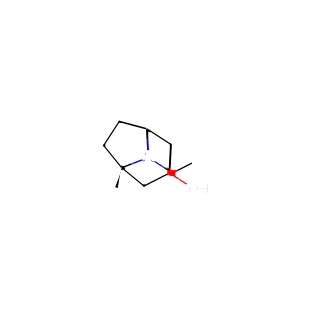 CCN1C2CC[C@H]1CC(O)C2